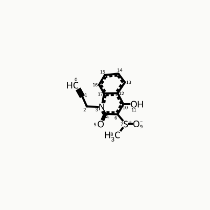 C#CCn1c(=O)c([S+](C)[O-])c(O)c2ccccc21